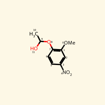 COc1cc([N+](=O)[O-])ccc1OC(C)O